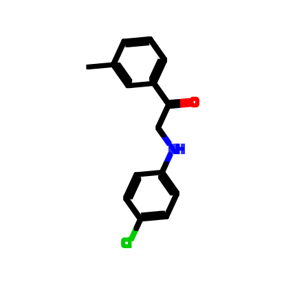 Cc1cccc(C(=O)CNc2ccc(Cl)cc2)c1